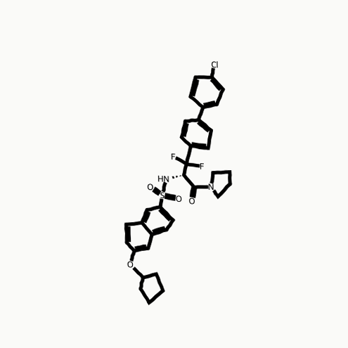 O=C([C@H](NS(=O)(=O)c1ccc2cc(OC3CCCC3)ccc2c1)C(F)(F)c1ccc(-c2ccc(Cl)cc2)cc1)N1CCCC1